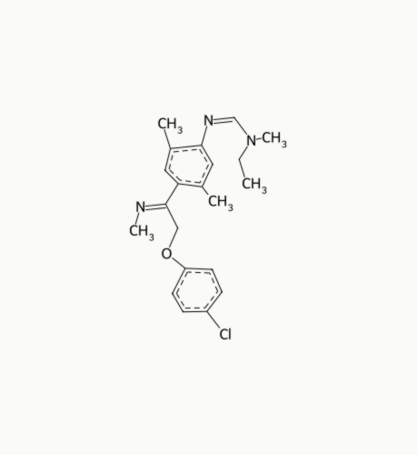 CCN(C)/C=N\c1cc(C)c(/C(COc2ccc(Cl)cc2)=N/C)cc1C